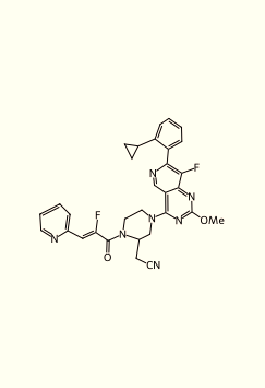 COc1nc(N2CCN(C(=O)/C(F)=C/c3ccccn3)C(CC#N)C2)c2cnc(-c3ccccc3C3CC3)c(F)c2n1